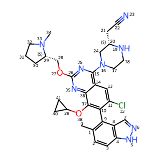 Cc1ccc2[nH]ncc2c1-c1c(Cl)cc2c(N3CCN[C@@H](CC#N)C3)nc(OC[C@@H]3CCCN3C)nc2c1OC1CC1